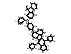 CC1(C)c2ccccc2-c2ccc(N(c3ccc(-c4ccc5c6c(cccc46)-c4c-5c(-c5ccccc5)c5ccccc5c4-c4ccccc4)cc3)c3cccnc3)cc21